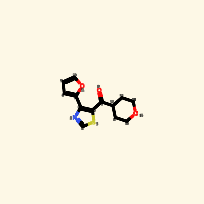 O=C(c1scnc1-c1ccco1)C1CCOCC1